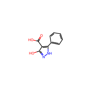 O=C(O)c1c(O)n[nH]c1-c1ccccc1